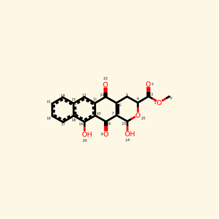 COC(=O)C1CC2=C(C(=O)c3c(cc4ccccc4c3O)C2=O)C(O)O1